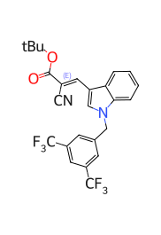 CC(C)(C)OC(=O)/C(C#N)=C/c1cn(Cc2cc(C(F)(F)F)cc(C(F)(F)F)c2)c2ccccc12